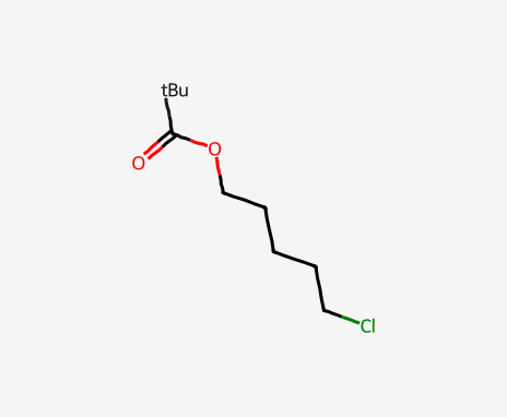 CC(C)(C)C(=O)OCCCCCCl